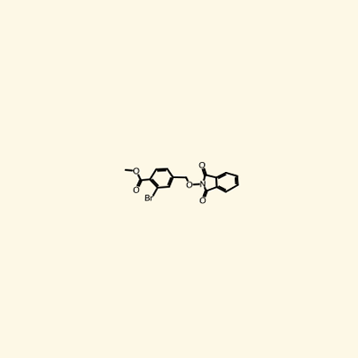 COC(=O)c1ccc(CON2C(=O)c3ccccc3C2=O)cc1Br